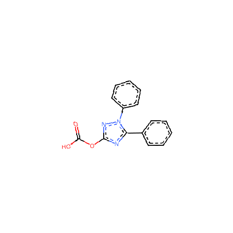 O=C(O)Oc1nc(-c2ccccc2)n(-c2ccccc2)n1